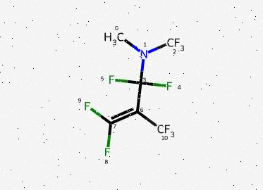 CN(C(F)(F)F)C(F)(F)C(=C(F)F)C(F)(F)F